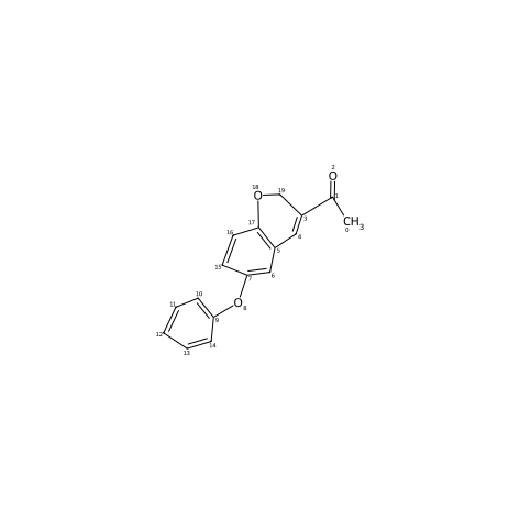 CC(=O)C1=Cc2cc(Oc3ccccc3)ccc2OC1